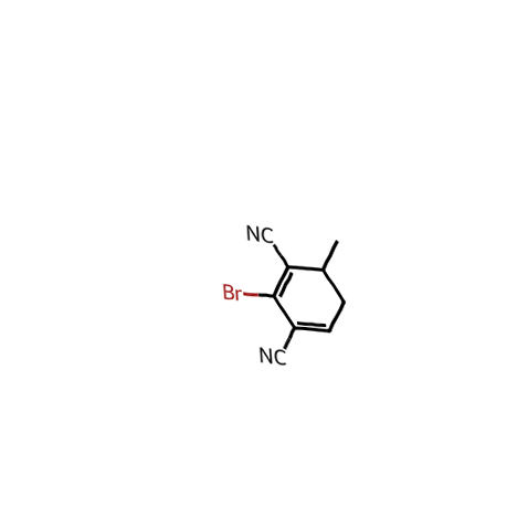 CC1CC=C(C#N)C(Br)=C1C#N